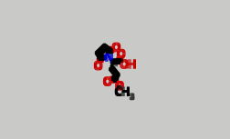 COC(=O)CC[C@@H](C(=O)O)N1C(=O)C=CC1=O